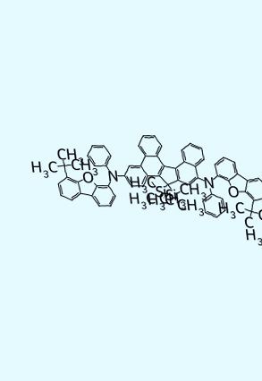 CC(C)(C)c1cccc2c1oc1c(N(c3ccccc3)c3ccc4c5c(c6ccccc6c4c3)-c3c(cc(N(c4ccccc4)c4cccc6c4oc4c(C(C)(C)C)cccc46)c4ccccc34)C5([Si](C)(C)C)[Si](C)(C)C)cccc12